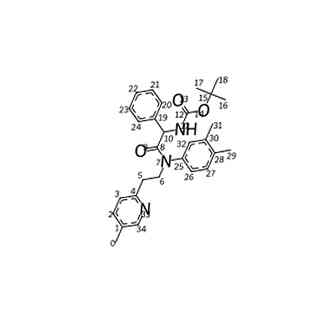 Cc1ccc(CCN(C(=O)C(NC(=O)OC(C)(C)C)c2ccccc2)c2ccc(C)c(C)c2)nc1